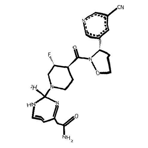 [2H]C1(N2CC[C@H](C(=O)N3OCC[C@H]3c3cncc(C#N)c3)[C@@H](F)C2)N=C(C(N)=O)C=CN1